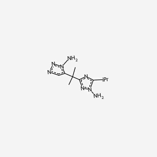 CC(C)c1nc(C(C)(C)c2cnnn2N)nn1N